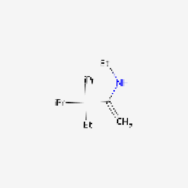 C=C(NCC)C(CC)(C(C)C)C(C)C